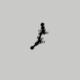 O=C(CCCC(=O)NC[C@H](NC(=O)c1ccc(-c2ccccc2)cc1)C(=O)NO)NC[C@H](CC(=O)c1ccc(C#Cc2ccccc2)cc1)C(=O)NO